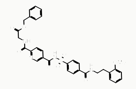 COc1ccccc1CCNC(=O)c1ccc(S(=O)(=O)NC(=O)c2ccc(C(=O)NCC(=O)OCc3ccccc3)nc2)cc1